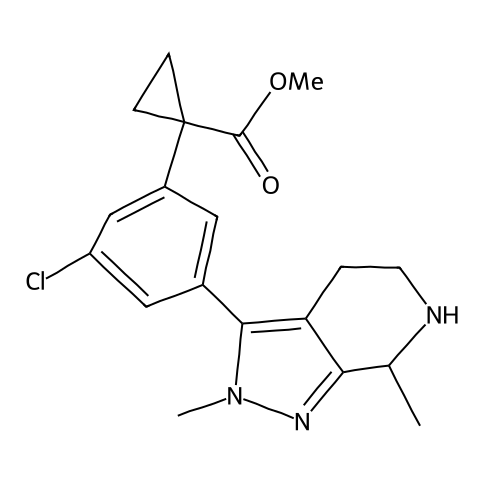 COC(=O)C1(c2cc(Cl)cc(-c3c4c(nn3C)C(C)NCC4)c2)CC1